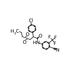 CCCS(=O)(=O)CC(C(=O)Nc1ccc(C#N)c(C(F)(F)F)c1)c1ccc(Cl)cc1